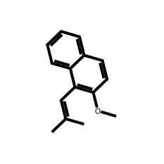 COc1ccc2ccccc2c1C=C(C)C